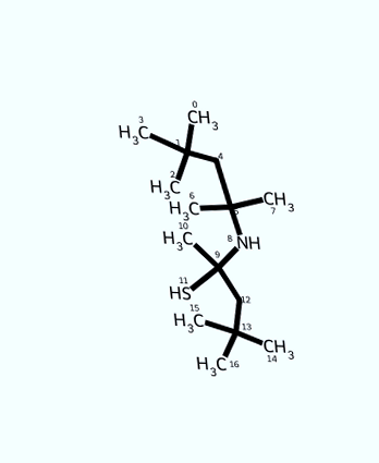 CC(C)(C)CC(C)(C)NC(C)(S)CC(C)(C)C